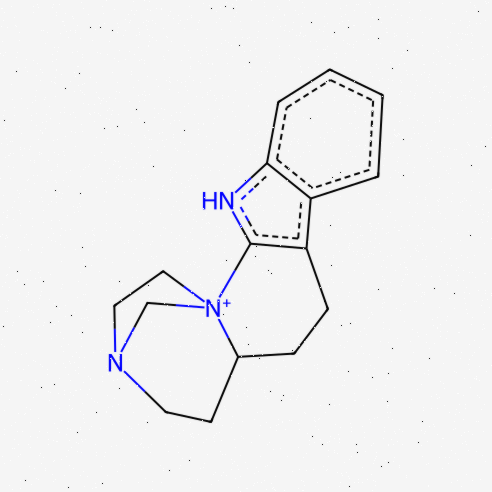 c1ccc2c3c([nH]c2c1)[N+]12CCN(CCC1CC3)C2